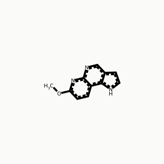 COc1ccc2c(ncc3cc[nH]c32)n1